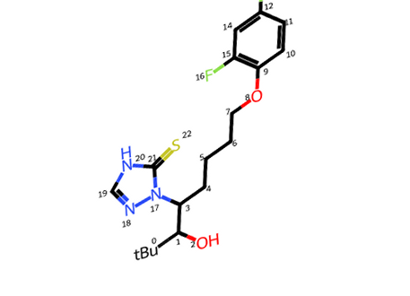 CC(C)(C)C(O)C(CCCCOc1ccc(F)cc1F)n1nc[nH]c1=S